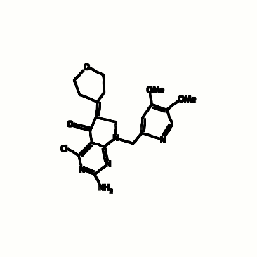 COc1cnc(CN2CC(=C3CCOCC3)C(=O)c3c(Cl)nc(N)nc32)cc1OC